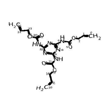 C=CCOC(=O)Nc1nc(NC(=O)OCC=C)nc(NC(=O)OCC=C)n1